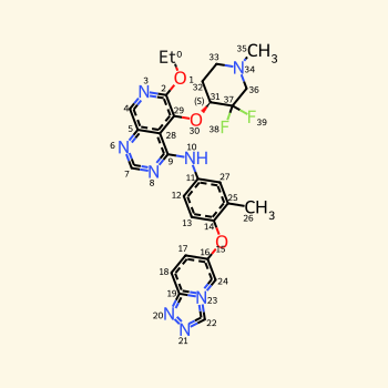 CCOc1ncc2ncnc(Nc3ccc(Oc4ccc5nncn5c4)c(C)c3)c2c1O[C@H]1CCN(C)CC1(F)F